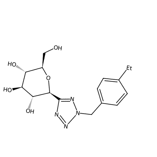 CCc1ccc(Cn2nnc([C@@H]3O[C@H](CO)[C@@H](O)[C@H](O)[C@H]3O)n2)cc1